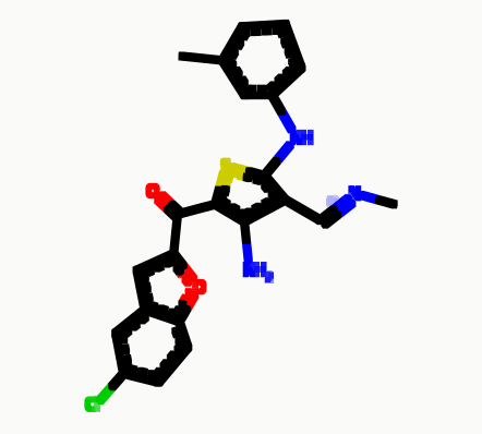 C/N=C/c1c(Nc2cccc(C)c2)sc(C(=O)c2cc3cc(Cl)ccc3o2)c1N